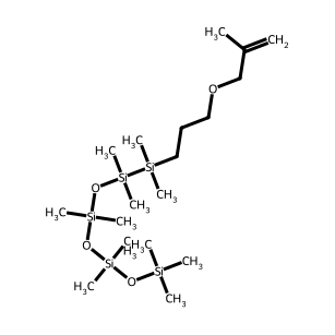 C=C(C)COCCC[Si](C)(C)[Si](C)(C)O[Si](C)(C)O[Si](C)(C)O[Si](C)(C)C